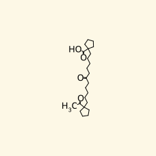 CC(=O)C1(CCCCCC(=O)CCCCCC2(C(=O)O)CCCC2)CCCC1